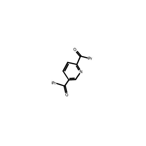 CC(C)C(=O)c1ccc(C(=O)C(C)C)nc1